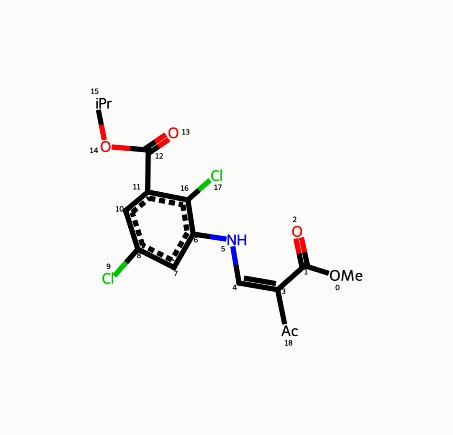 COC(=O)C(=CNc1cc(Cl)cc(C(=O)OC(C)C)c1Cl)C(C)=O